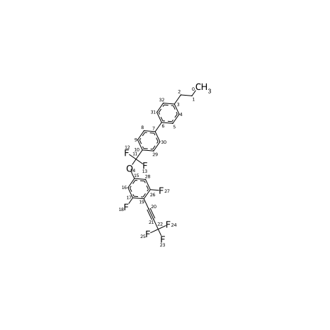 CCCc1ccc(-c2ccc(C(F)(F)Oc3cc(F)c(C#CC(F)(F)F)c(F)c3)cc2)cc1